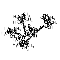 CC(=O)CC1C(CCCOCCNC(=O)CN(CC(=O)CCCOCCOC2CC(COC(C)=O)C(OC(C)=O)C(OC(C)=O)C2NC(C)=O)C(=O)COc2cc(C=O)cc(OCC(=O)N(CC(=O)CCCOCCOC3OC(C)C(OC(C)=O)C(OC(C)=O)C3NC(C)=O)CC(=O)OCCOCCOC3OC(C)C(OC(C)=O)C(OC(C)=O)C3NC(C)=O)c2)CC(COC(C)=O)C(OC(C)=O)C1OC(C)=O